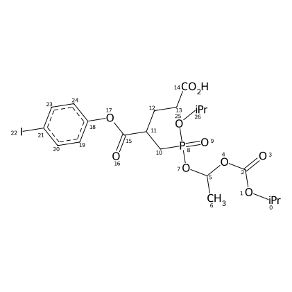 CC(C)OC(=O)OC(C)OP(=O)(CC(CCC(=O)O)C(=O)Oc1ccc(I)cc1)OC(C)C